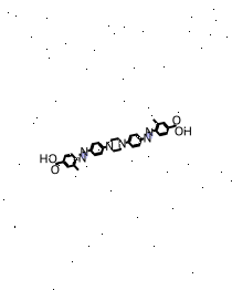 Cc1cc(C(=O)O)ccc1/N=N/c1ccc(N2CCN(c3ccc(/N=N/c4ccc(C(=O)O)cc4C)cc3)CC2)cc1